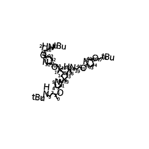 CC(CCNC(C)(C)C)Oc1ccnc(C(C)(CCC(C)(C)COc2ccc(O[C@H](C)CNC(C)(C)C)nc2)CCC(C)(C)NCCOc2ccc(OCC(C)(C)C)cn2)c1